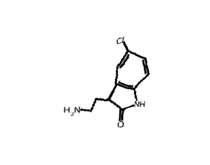 NCCC1C(=O)Nc2ccc(Cl)cc21